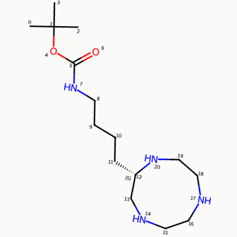 CC(C)(C)OC(=O)NCCCC[C@H]1CNCCNCCN1